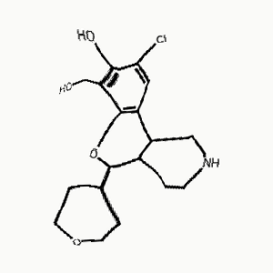 Oc1c(Cl)cc2c(c1O)OC(C1CCOCC1)C1CCNCC21